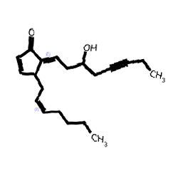 CCC#CCC(O)C/C=C1/C(=O)C=CC1C/C=C\CCCC